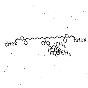 CCCCCC/C=C\COC(=O)CCCCCCCC(CCCCCCCC(=O)OC/C=C\CCCCCC)C(=O)OCC(C)CC(C)(C)CN(C)C